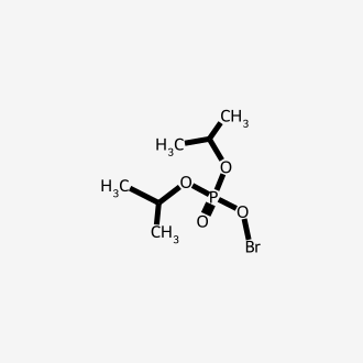 CC(C)OP(=O)(OBr)OC(C)C